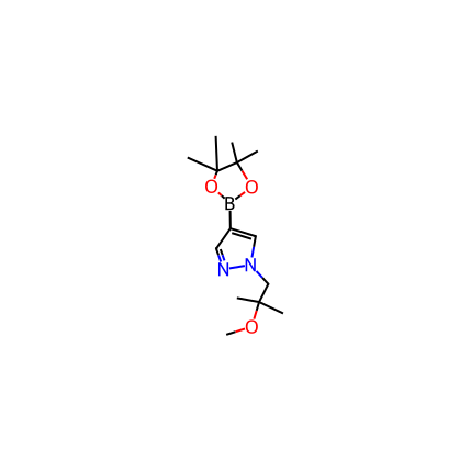 COC(C)(C)Cn1cc(B2OC(C)(C)C(C)(C)O2)cn1